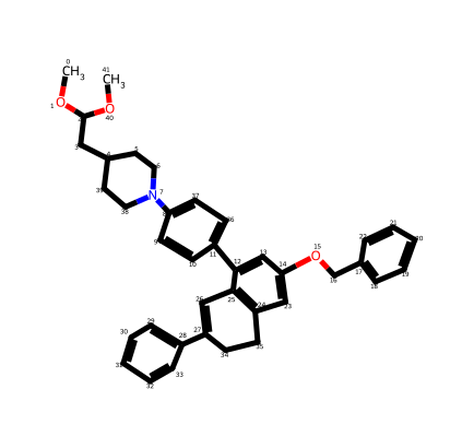 COC(CC1CCN(c2ccc(-c3cc(OCc4ccccc4)cc4c3C=C(c3ccccc3)CC4)cc2)CC1)OC